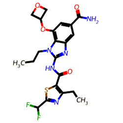 CCCn1c(NC(=O)c2sc(C(F)F)nc2CC)nc2cc(C(N)=O)cc(OC3COC3)c21